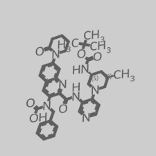 C[C@@H]1C[C@H](NC(=O)OC(C)(C)C)CN(c2ccncc2NC(=O)c2nc3cc(N4CCCCC4=O)ccc3cc2N(Cc2ccccc2)C(=O)O)C1